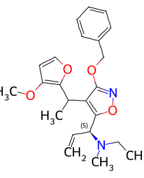 C=C[C@@H](c1onc(OCc2ccccc2)c1C(C)c1occc1OC)N(C)CC